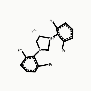 CC(C)c1cccc(C(C)C)c1N1CC[NH+](c2c(C(C)C)cccc2C(C)C)C1.[V+5]